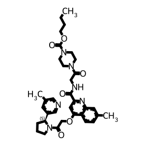 CCCCOC(=O)N1CCN(C(=O)CNC(=O)c2cc(OCC(=O)N3CCC[C@H]3c3cncc(C)c3)c3ccc(C)cc3n2)CC1